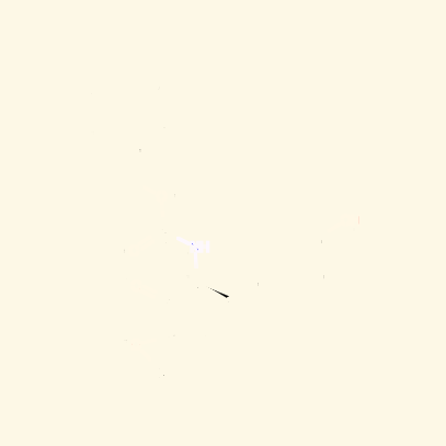 CC1(C(=O)[C@H](Cc2ccc(O)cc2)NC(=O)OCc2ccccc2)CO1